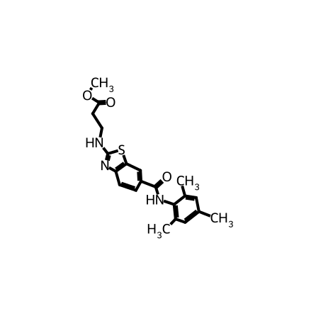 COC(=O)CCNc1nc2ccc(C(=O)Nc3c(C)cc(C)cc3C)cc2s1